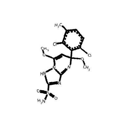 COC1=CC(OC)(c2c(Cl)ccc(C)c2Cl)N=C2N=C(S(N)(=O)=O)NN12